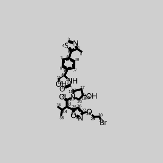 Cc1ncsc1-c1ccc([C@H](CO)NC(=O)[C@@H]2C[C@@H](O)CN2C(=O)C(c2cc(OCCBr)no2)C(C)C)cc1